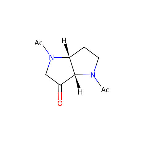 CC(=O)N1CC(=O)[C@@H]2[C@H]1CCN2C(C)=O